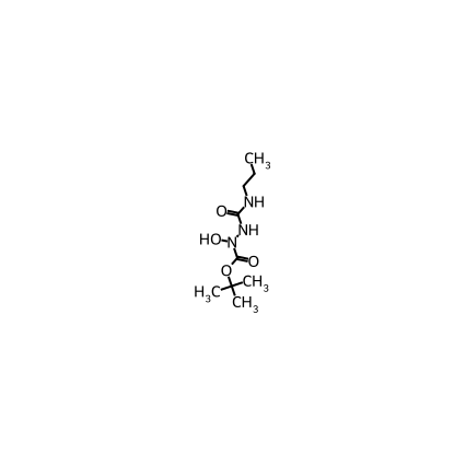 CCCNC(=O)NN(O)C(=O)OC(C)(C)C